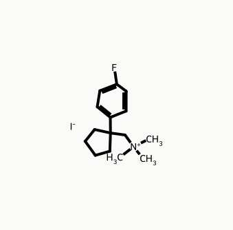 C[N+](C)(C)CC1(c2ccc(F)cc2)CCCC1.[I-]